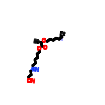 CC/C=C\CCCCOC(CC)C(=O)OCCCCCCNCCCO